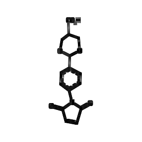 O=C(O)C1COC(c2ccc(N3C(=O)C=CC3=O)cc2)OC1